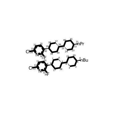 CCCC[C@H]1CC[C@H]([C@H]2CC[C@H](c3ccc(Cl)nc3F)CC2)CC1.CCC[C@H]1CC[C@H]([C@H]2CC[C@H](c3ccc(Cl)nc3F)CC2)CC1